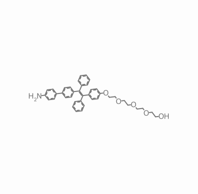 Nc1ccc(-c2ccc(/C(=C(\c3ccccc3)c3ccc(OCCOCCOCCOCCO)cc3)c3ccccc3)cc2)cc1